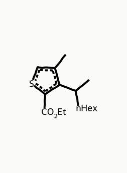 CCCCCCC(C)c1c(C)csc1C(=O)OCC